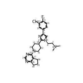 CN(C)CCn1cc(-c2ccc(F)c(Cl)c2)nc1C1CCN(c2ncnc3c2CCC3)CC1